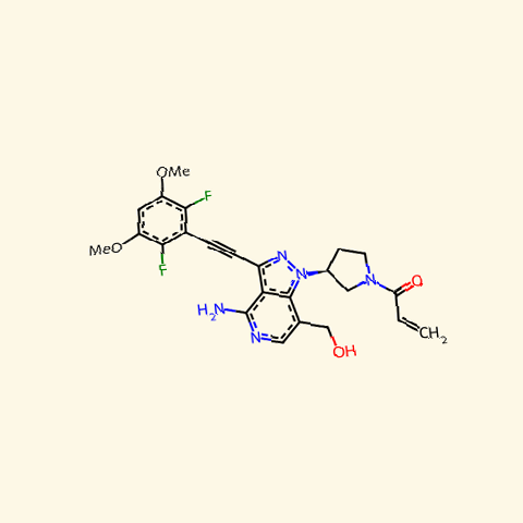 C=CC(=O)N1CC[C@H](n2nc(C#Cc3c(F)c(OC)cc(OC)c3F)c3c(N)ncc(CO)c32)C1